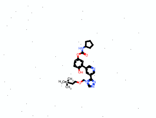 C[Si](C)(C)CCOCn1cnnc1-c1cncc(-c2cc(OC(=O)NC3CCCC3)ccc2O)c1